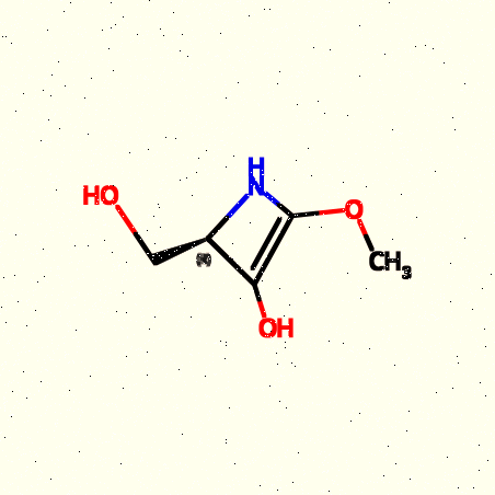 COC1=C(O)[C@@H](CO)N1